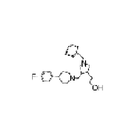 OCCC1CN(Cc2ccccc2)CC1CN1CCC(c2ccc(F)cc2)CC1